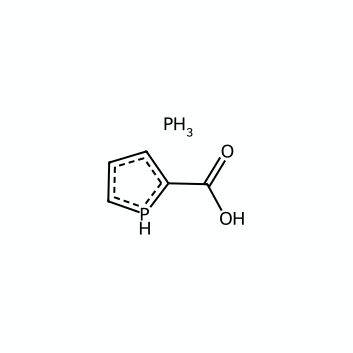 O=C(O)c1ccc[pH]1.P